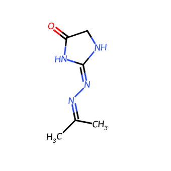 CC(C)=N/N=C1/NCC(=O)N1